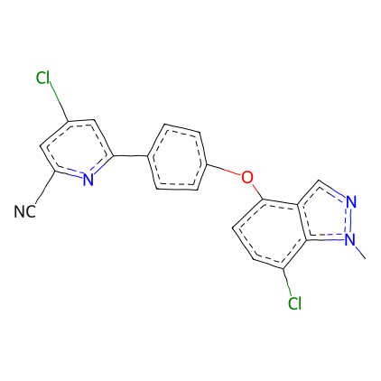 Cn1ncc2c(Oc3ccc(-c4cc(Cl)cc(C#N)n4)cc3)ccc(Cl)c21